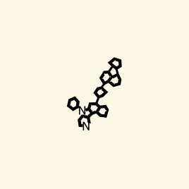 c1ccc(-n2c3ccncc3c3c4ccccc4c(-c4ccc(-c5ccc6c7c(cccc57)-c5ccccc5-6)cc4)cc32)cc1